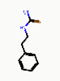 NC(=S)NCCc1ccccc1